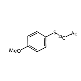 COc1ccc(S[13CH2][13C](C)=O)cc1